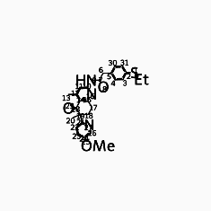 CCSc1ccc(CC(=O)Nc2cc(C)c3c(n2)CCC(C)(c2ccc(OC)cn2)C3=O)cc1